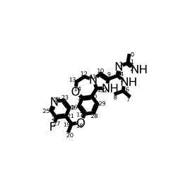 CC(=N)/N=C(\NC(C)C)C1=CN2CCOc3cc(OC(C)c4ccncc4F)ccc3C2N1